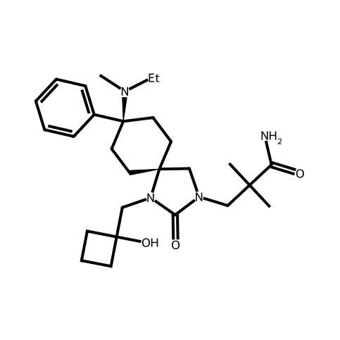 CCN(C)[C@]1(c2ccccc2)CC[C@@]2(CC1)CN(CC(C)(C)C(N)=O)C(=O)N2CC1(O)CCC1